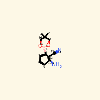 CC1(C)COB(c2cccc(N)c2C#N)OC1